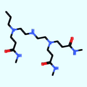 CCCN(CCNCCN(CCC(=O)NC)CCC(=O)NC)CCC(=O)NC